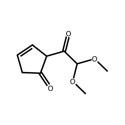 COC(OC)C(=O)C1C=CCC1=O